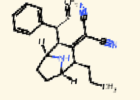 C=C[C@@H](c1ccccc1)[C@H]1C(=C(C#N)C#N)[C@@H](CCC)[C@@H]2CC[C@H]1N2